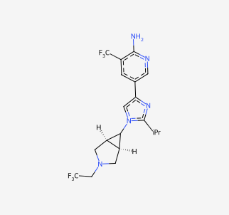 CC(C)c1nc(-c2cnc(N)c(C(F)(F)F)c2)cn1C1[C@H]2CN(CC(F)(F)F)C[C@@H]12